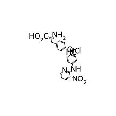 Cl.Cl.N[C@@H](Cc1ccc(Oc2ccc(Nc3ncccc3[N+](=O)[O-])cc2)cc1)C(=O)O